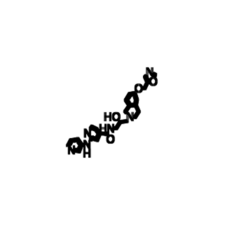 O=C(NCC(O)CN1CCc2cc(OCc3cnco3)ccc2C1)c1ccnc(Nc2cccnc2)c1